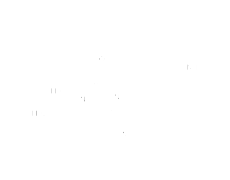 C/C=C\c1c(C)n(-c2ccc3c(c2)CCN3)c(=O)n1C